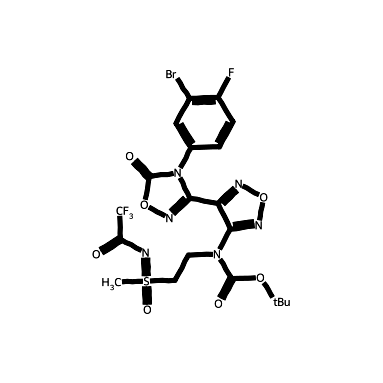 CC(C)(C)OC(=O)N(CCS(C)(=O)=NC(=O)C(F)(F)F)c1nonc1-c1noc(=O)n1-c1ccc(F)c(Br)c1